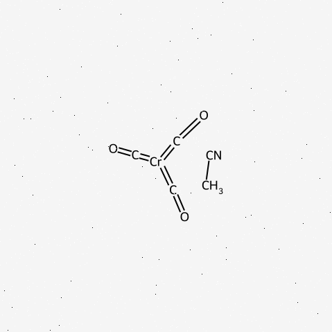 CC#N.O=[C]=[Cr](=[C]=O)=[C]=O